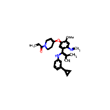 C=CC(=O)N1CCC(Oc2cc(/C(Nc3cccc(C4CC4)c3)=C(\C)C#N)c(N=C)cc2OC)CC1